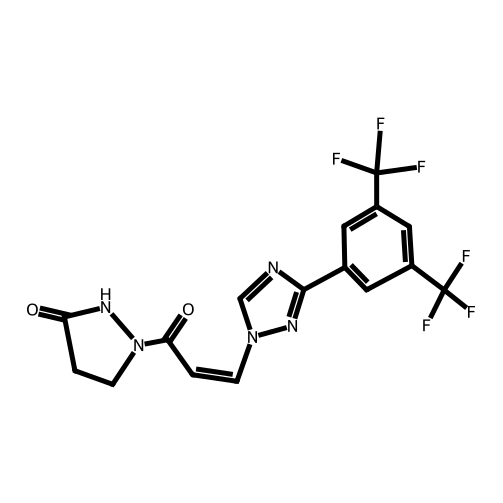 O=C1CCN(C(=O)/C=C\n2cnc(-c3cc(C(F)(F)F)cc(C(F)(F)F)c3)n2)N1